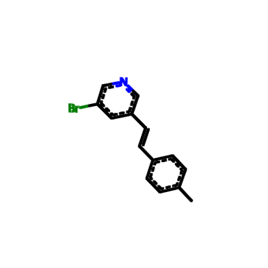 Cc1ccc(C=Cc2cncc(Br)c2)cc1